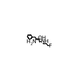 N[C@@H](Cc1ccccc1)[C@H](O)CNCCCF